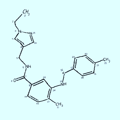 CCn1cc(CNC(=O)c2ccc(C)c(NSc3ccc(C)cc3)c2)cn1